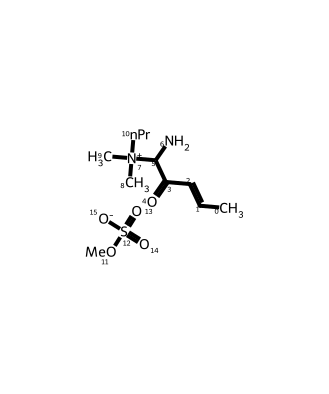 CC=CC(=O)C(N)[N+](C)(C)CCC.COS(=O)(=O)[O-]